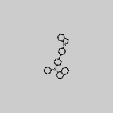 c1ccc(N(c2ccc(-c3ccc(-n4ccc5ccccc54)cc3)cc2)c2cccc3ccccc23)cc1